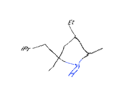 CCC1C(C)NC1(C)CC(C)C